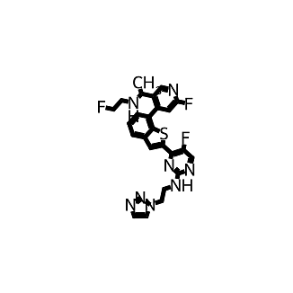 CC(NCCF)c1cnc(F)cc1-c1cccc2cc(-c3nc(NCCn4ccnn4)ncc3F)sc12